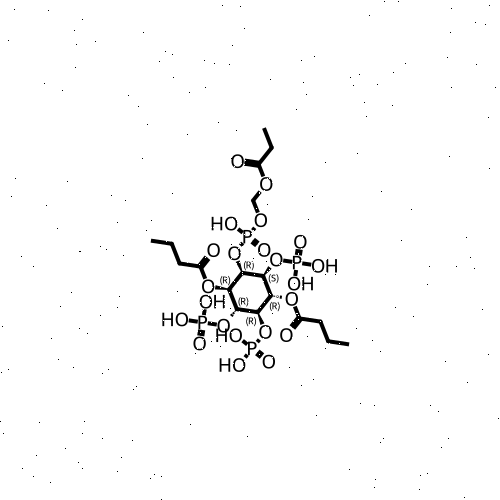 CCCC(=O)O[C@@H]1[C@@H](OP(=O)(O)O)[C@H](OP(=O)(O)O)[C@@H](OC(=O)CCC)[C@@H](OP(=O)(O)OCOC(=O)CC)[C@H]1OP(=O)(O)O